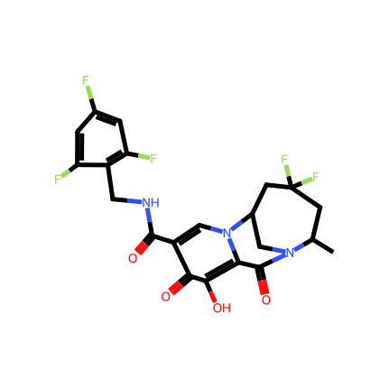 CC1CC(F)(F)CC2CN1C(=O)c1c(O)c(=O)c(C(=O)NCc3c(F)cc(F)cc3F)cn12